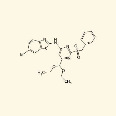 CCOC(OCC)c1cc(Nc2nc3ccc(Br)cc3s2)nc(S(=O)(=O)Cc2ccccc2)n1